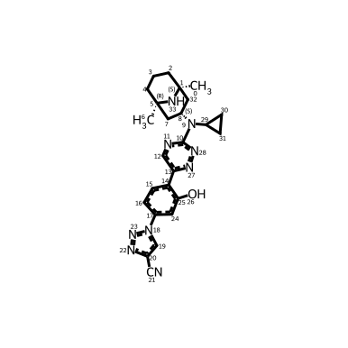 C[C@]12CCC[C@](C)(C[C@@H](N(c3ncc(-c4ccc(-n5cc(C#N)nn5)cc4O)nn3)C3CC3)C1)N2